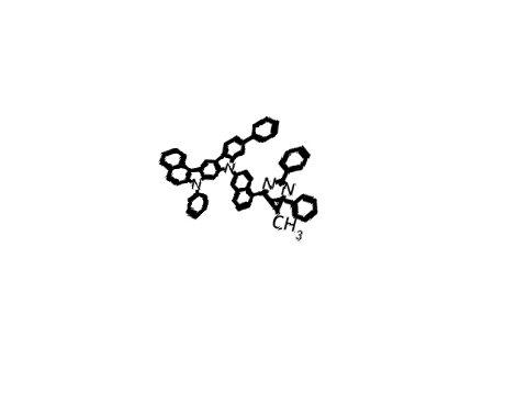 CC1C2C(c3cccc4cc(-n5c6cc(-c7ccccc7)ccc6c6cc7c8c9ccccc9ccc8n(-c8ccccc8)c7cc65)ccc34)=NC(c3ccccc3)=NC12c1ccccc1